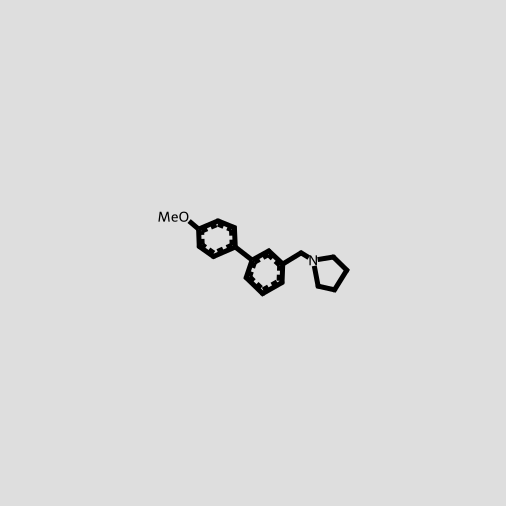 COc1ccc(-c2cccc(CN3CCCC3)c2)cc1